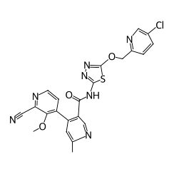 COc1c(-c2cc(C)ncc2C(=O)Nc2nnc(OCc3ccc(Cl)cn3)s2)ccnc1C#N